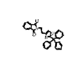 O=C1c2ccccc2C(=O)N1CCc1c[nH]c(C(c2ccccc2)(c2ccccc2)c2ccccc2)n1